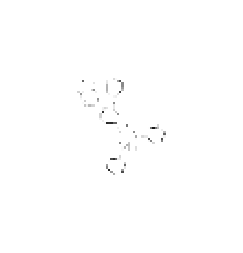 c1ccc(-c2nc(-c3ccccc3)nc(-c3ccc4c(c3)-c3ccccc3C43C4CC5CC(C4)CC3C5)n2)cc1